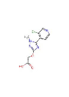 Cn1nc(OCC(=O)O)nc1-c1ccncc1Cl